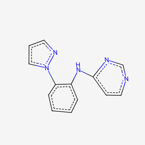 c1ccc(-n2cccn2)c(Nc2ccncn2)c1